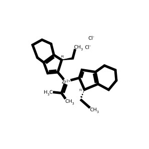 CC[C@@H]1[C]([Zr+2]([C]2=CC3=C(CCCC3)[C@H]2CC)=[C](C)C)=CC2=C1CCCC2.[Cl-].[Cl-]